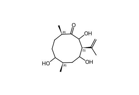 C=C(C)[C@H]1C(O)C[C@@H](C)C(O)CC[C@@H](C)C(=O)C1O